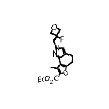 CCOC(=O)c1oc2c(c1C)-c1nn(CC3(F)COC3)cc1CC2